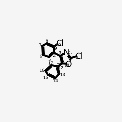 Clc1nc(-c2ccccc2Cl)c(-c2ccccc2)o1